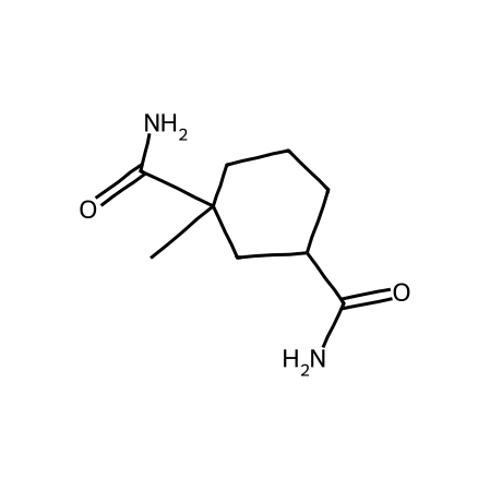 CC1(C(N)=O)CCCC(C(N)=O)C1